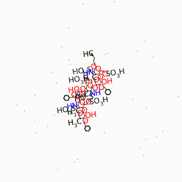 C#CCCCO[C@@H]1OC(COS(=O)(=O)O)[C@@H](O[C@@H]2OC[C@@H](O[C@@H]3OC(COS(=O)(=O)O)[C@@H](O[C@@H]4OC[C@@H](O[C@@H]5OC(COS(=O)(=O)O)[C@@H](O[C@@H]6OC[C@@H](C)[C@@H](OCc7ccccc7)C6O)[C@H](C)C5NS(=O)(=O)O)[C@@H](OCc5ccccc5)C4O)[C@H](C)C3NS(=O)(=O)O)[C@@H](OCc3ccccc3)C2O)[C@H](C)C1NS(=O)(=O)O